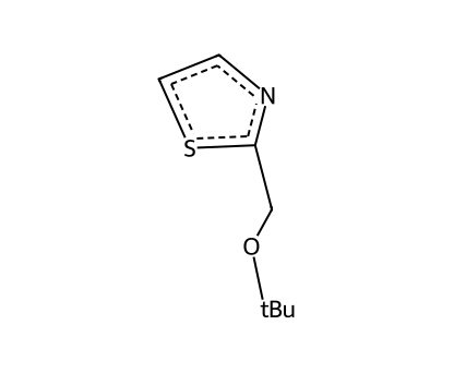 CC(C)(C)OCc1nccs1